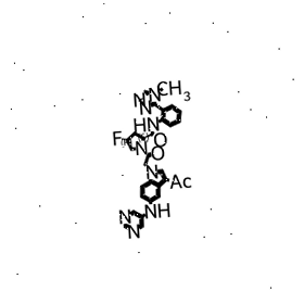 CC(=O)c1cn(CC(=O)N2C[C@H](F)C[C@H]2C(=O)Nc2ccccc2-c2nncn2C)c2ccc(Nc3cncnc3)cc12